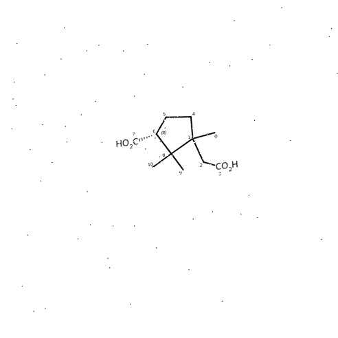 CC1(CC(=O)O)CC[C@@H](C(=O)O)C1(C)C